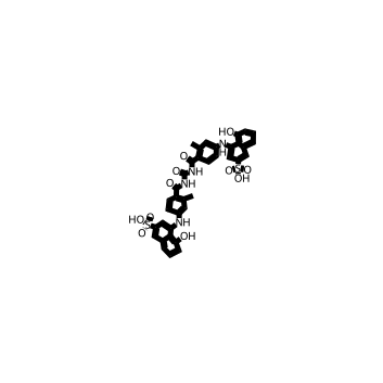 Cc1cc(Nc2cc(S(=O)(=O)O)cc3cccc(O)c23)ccc1C(=O)NC(=O)NC(=O)c1ccc(Nc2cc(S(=O)(=O)O)cc3cccc(O)c23)cc1C